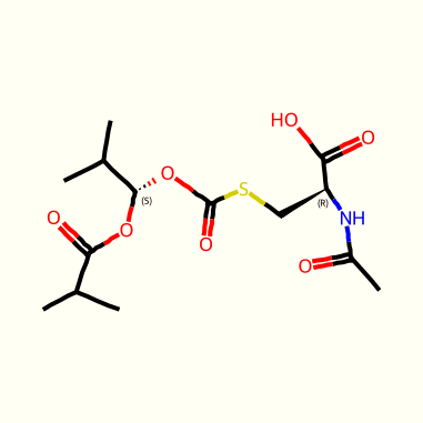 CC(=O)N[C@@H](CSC(=O)O[C@H](OC(=O)C(C)C)C(C)C)C(=O)O